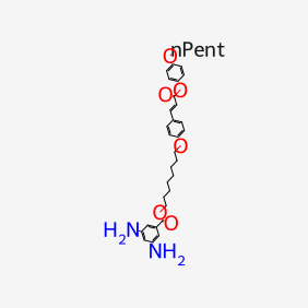 CCCCCOc1ccc(OC(=O)C=Cc2ccc(OCCCCCCCCOC(=O)c3cc(N)cc(N)c3)cc2)cc1